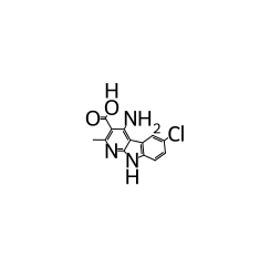 Cc1nc2[nH]c3ccc(Cl)cc3c2c(N)c1C(=O)O